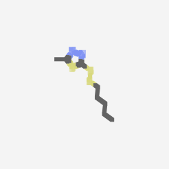 CCCCCSSc1nnc(C)s1